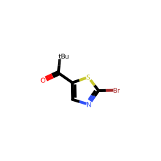 CC(C)(C)C(=O)c1cnc(Br)s1